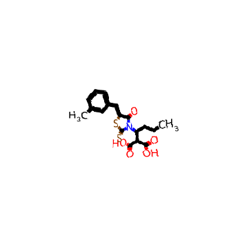 CCCC(C(C(=O)O)C(=O)O)N1C(=O)C(=Cc2cccc(C)c2)SC1=S